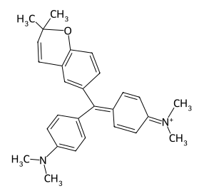 CN(C)c1ccc(C(=C2C=CC(=[N+](C)C)C=C2)c2ccc3c(c2)C=CC(C)(C)O3)cc1